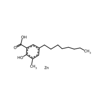 CCCCCCCCc1cc(C)c(O)c(C(=O)O)c1.[Zn]